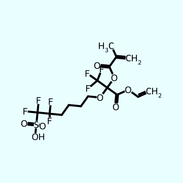 C=COC(=O)C(OCCCCC(F)(F)C(F)(F)S(=O)(=O)O)(OC(=O)C(=C)C)C(F)(F)F